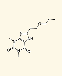 CCCOCCc1nc2c([nH]1)c(=O)n(C)c(=O)n2C